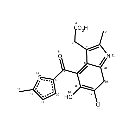 CC1=C(CC(=O)O)C2=C(C(=O)c3ccc(C)s3)C(O)=C(Cl)CC2=N1